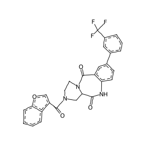 O=C1Nc2ccc(-c3cccc(C(F)(F)F)c3)cc2C(=O)N2CCN(C(=O)c3coc4ccccc34)CC12